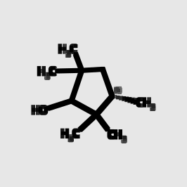 C[C@H]1CC(C)(C)C(O)C1(C)C